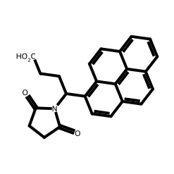 O=C(O)CCC(c1ccc2ccc3cccc4ccc1c2c34)N1C(=O)CCC1=O